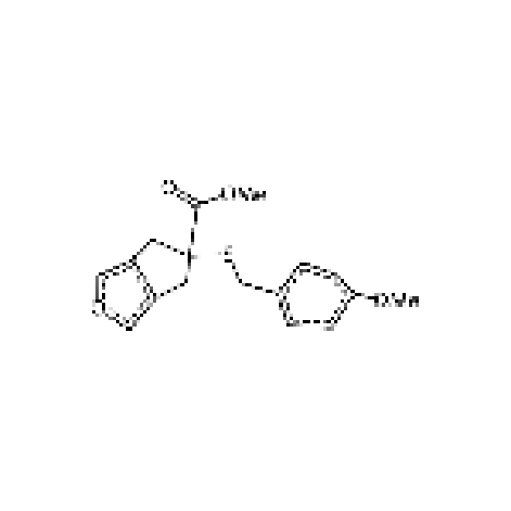 COC(=O)C1(SCc2ccc(OC)cc2)Cc2cocc2C1